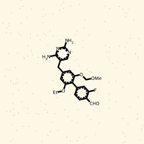 CCOc1cc(Cc2cnc(N)nc2N)cc(OCOC)c1-c1ccc(C=O)c(F)c1